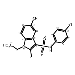 Cc1c(S(=O)(=O)Nc2ccc(Cl)cc2)c2cc(C#N)ccc2n1CC(=O)O